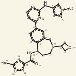 CCn1cc(Nc2nccc(-c3ccc4c(c3)CN(C3COC3)CC[C@H]4NC(=O)c3noc(C(C)(C)C)n3)n2)cn1